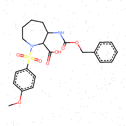 COc1ccc(S(=O)(=O)N2CCCCC(NC(=O)OCc3ccccc3)C2C(=O)O)cc1